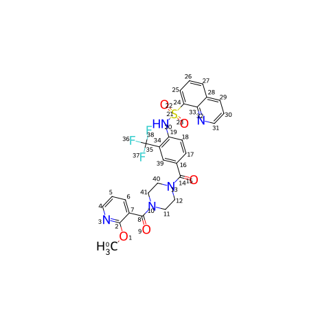 COc1ncccc1C(=O)N1CCN(C(=O)c2ccc(NS(=O)(=O)c3cccc4cccnc34)c(C(F)(F)F)c2)CC1